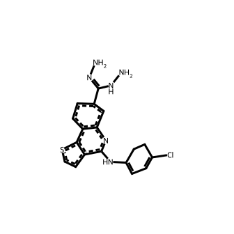 N/N=C(\NN)c1ccc2c(c1)nc(NC1=CC=C(Cl)CC1)c1ccsc12